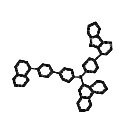 c1ccc2c(-c3ccc(-c4ccc(N(c5ccc(-c6cccc7c6oc6ccccc67)cc5)c5cc6ccccc6c6ccccc56)cc4)cc3)cccc2c1